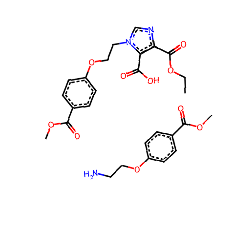 CCOC(=O)c1ncn(CCOc2ccc(C(=O)OC)cc2)c1C(=O)O.COC(=O)c1ccc(OCCN)cc1